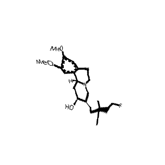 COc1cc2c(cc1OC)[C@H]1C[C@H](O)[C@H](CC(C)(C)CCF)CN1CC2